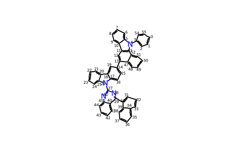 c1ccc(-n2c3ccccc3c3cc(-c4ccc5c(c4)c4ccccc4n5-c4nc(-c5cccc6ccccc56)c5ccccc5n4)c4ccccc4c32)cc1